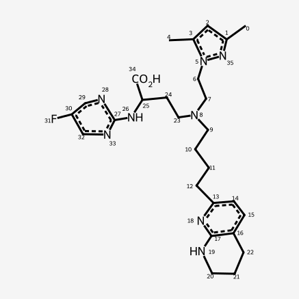 Cc1cc(C)n(CCN(CCCCc2ccc3c(n2)NCCC3)CCC(Nc2ncc(F)cn2)C(=O)O)n1